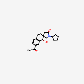 COC(=O)c1ccc2c(c1)C(O)C1(CC2)CC(=O)N(C2CCCC2)C1